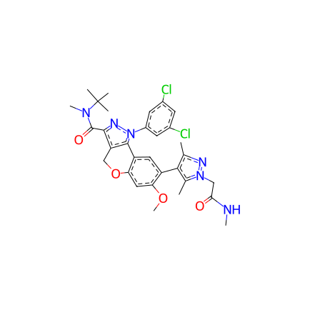 CNC(=O)Cn1nc(C)c(-c2cc3c(cc2OC)OCc2c(C(=O)N(C)C(C)(C)C)nn(-c4cc(Cl)cc(Cl)c4)c2-3)c1C